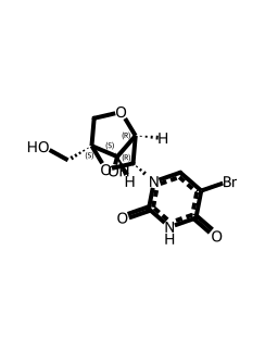 O=c1[nH]c(=O)n([C@@H]2O[C@@]3(CO)CO[C@@H]2[C@@H]3O)cc1Br